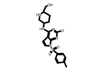 Cc1ccc(S(=O)(=O)n2ccc3c(NC4CCC(CO)NC4)nc(Cl)nc32)cc1